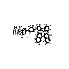 CC1(C)OB(c2ccc(-c3ccc4c(c3)S(c3ccc5ccccc5c3)(c3ccc5ccccc5c3)c3ccccc3-4)cc2)OC1(C)C